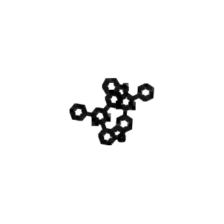 c1ccc(-c2cc(-c3ccccc3)nc(-c3cccc4oc5ccc(-c6nc(-c7ccccc7)c7sc8ccccc8c7n6)cc5c34)n2)cc1